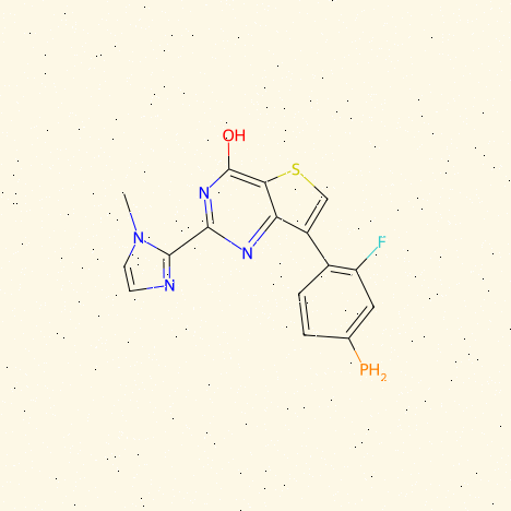 Cn1ccnc1-c1nc(O)c2scc(-c3ccc(P)cc3F)c2n1